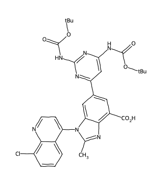 Cc1nc2c(C(=O)O)cc(-c3cc(NC(=O)OC(C)(C)C)nc(NC(=O)OC(C)(C)C)n3)cc2n1-c1ccnc2c(Cl)cccc12